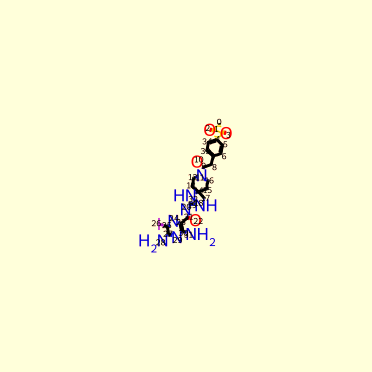 CS(=O)(=O)c1ccc(CC(=O)N2CCC3(CC2)CN/C(=N\C(=O)c2nc(I)c(N)nc2N)N3)cc1